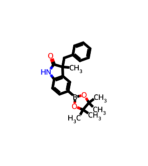 CC1(Cc2ccccc2)C(=O)Nc2ccc(B3OC(C)(C)C(C)(C)O3)cc21